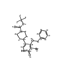 CC(C)(C)OC(=O)N1CCC(c2c[nH]c(=O)c(Br)c2OCc2ccccc2)CC1